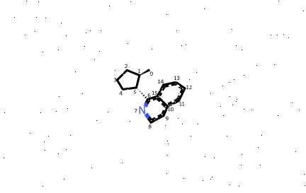 C[C@@H]1CCC[C@H]1c1nccc2ccccc12